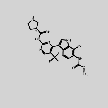 COC(=O)Nc1ccc2c(-c3nc(NC(=[SiH2])[C@H]4CCNC4)ncc3C(F)(F)F)c[nH]c2c1Br